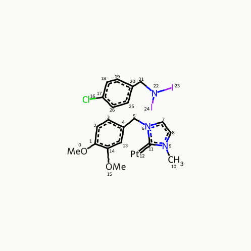 COc1ccc(Cn2ccn(C)[c]2=[Pt])cc1OC.Clc1ccc(CN(I)I)cc1